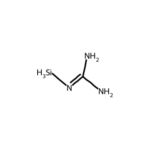 NC(N)=N[SiH3]